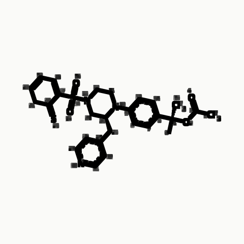 C[C@](OC(=O)C(F)(F)F)(c1ccc(N2CCN(S(=O)(=O)C3=CC=CCC3=S)C[C@@H]2Cc2ccncc2)cc1)C(F)(F)F